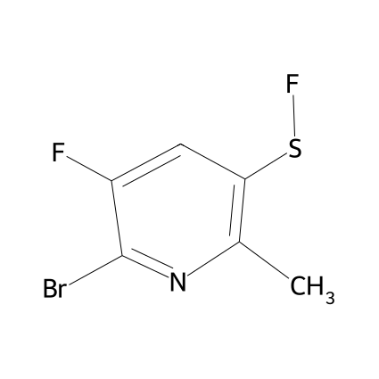 Cc1nc(Br)c(F)cc1SF